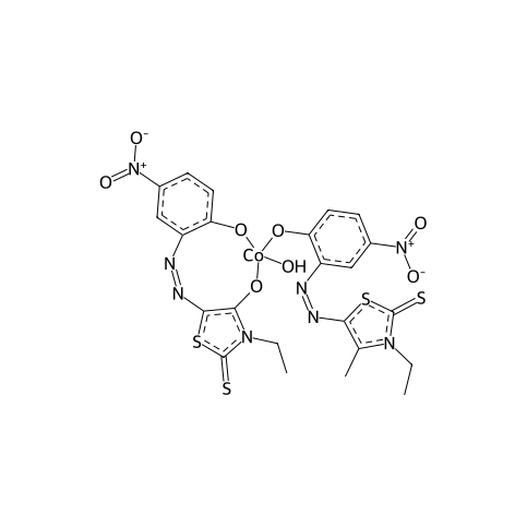 CCn1c(C)c(N=Nc2cc([N+](=O)[O-])ccc2[O][Co]2([OH])[O]c3ccc([N+](=O)[O-])cc3N=Nc3sc(=S)n(CC)c3[O]2)sc1=S